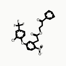 O=C(Cc1cc(Oc2ccc(C(F)(F)F)cc2Cl)ccc1[N+](=O)[O-])OCCC(=O)c1ccccc1